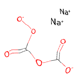 O=C([O-])OC(=O)O[O-].[Na+].[Na+]